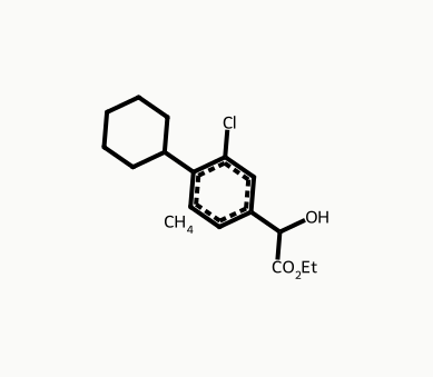 C.CCOC(=O)C(O)c1ccc(C2CCCCC2)c(Cl)c1